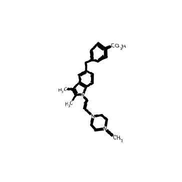 Cc1c(C)n(CCN2CCN(C)CC2)c2ccc(Cc3ccc(C(=O)O)cc3)cc12